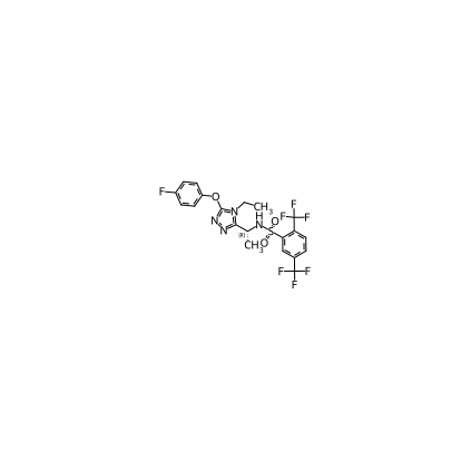 CCn1c(Oc2ccc(F)cc2)nnc1[C@@H](C)NS(=O)(=O)c1cc(C(F)(F)F)ccc1C(F)(F)F